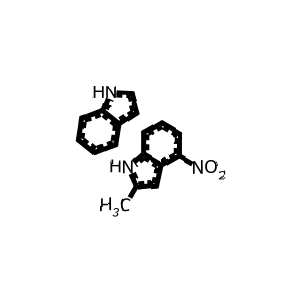 Cc1cc2c([N+](=O)[O-])cccc2[nH]1.c1ccc2[nH]ccc2c1